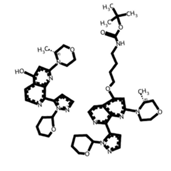 C[C@@H]1COCCN1c1cc(O)c2ccnc(-c3ccnn3C3CCCCO3)c2n1.C[C@@H]1COCCN1c1cc(OCCCCNC(=O)OC(C)(C)C)c2ccnc(-c3ccnn3C3CCCCO3)c2n1